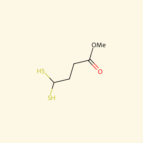 COC(=O)CCC(S)S